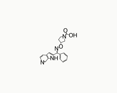 O=C(O)N1CCC(ON=C(c2ccccc2)c2cc3ccncc3[nH]2)C1